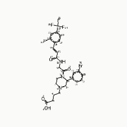 O=C(O)CCCN1CCN(C(=O)CNC(=O)/C=C/c2ccc(C(F)(F)F)cc2F)C(c2cccc(Br)c2)C1